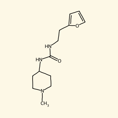 CN1CCC(NC(=O)NCCc2ccco2)CC1